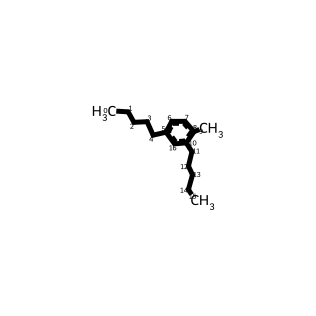 CCCCCc1ccc(C)c(CCCCC)c1